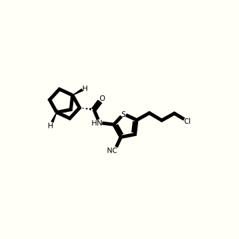 N#Cc1cc(CCCCl)sc1NC(=O)[C@@H]1C[C@@H]2CC[C@H]1C2